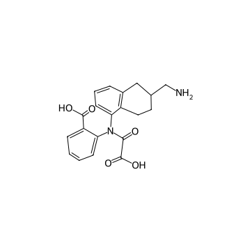 NCC1CCc2c(cccc2N(C(=O)C(=O)O)c2ccccc2C(=O)O)C1